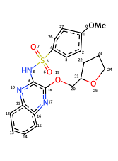 COc1ccc(S(=O)(=O)Nc2nc3ccccc3nc2OCC2CCCO2)cc1